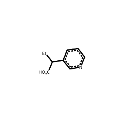 CCC(C(=O)O)c1cccnc1